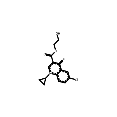 O=C(OCCO)c1cn(C2CC2)c2ccc(Cl)cc2c1=O